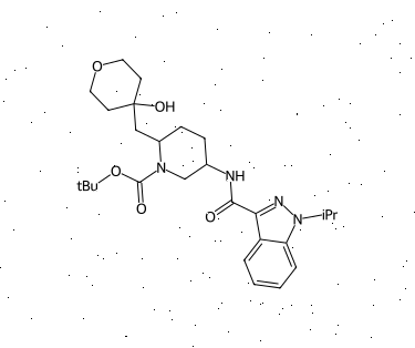 CC(C)n1nc(C(=O)NC2CCC(CC3(O)CCOCC3)N(C(=O)OC(C)(C)C)C2)c2ccccc21